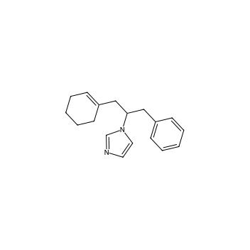 C1=C(CC(Cc2ccccc2)n2ccnc2)CCCC1